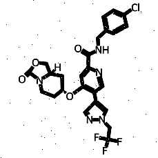 O=C(NCc1ccc(Cl)cc1)c1cc(O[C@H]2CCN3C(=O)OC[C@@H]3C2)c(-c2cnn(CC(F)(F)F)c2)cn1